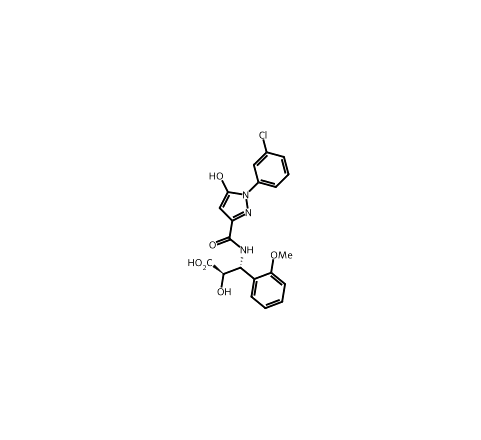 COc1ccccc1[C@@H](NC(=O)c1cc(O)n(-c2cccc(Cl)c2)n1)[C@@H](O)C(=O)O